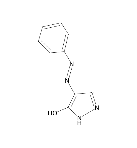 Oc1[nH]n[c]c1N=Nc1ccccc1